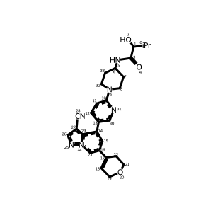 CC(C)C(O)C(=O)NC1CCN(c2ccc(-c3cc(C4=CCOCC4)cn4ncc(C#N)c34)cn2)CC1